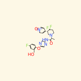 CC(C(=O)Nc1cnc(Oc2ccc(F)cc2CO)cn1)N1CCC(F)(F)[C@@H](c2cc[n+]([O-])cc2)C1